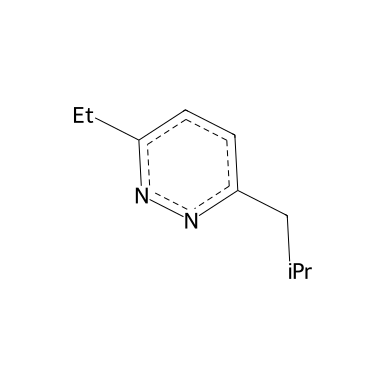 CCc1ccc(CC(C)C)nn1